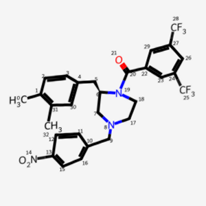 Cc1ccc(C[C@@H]2CN(Cc3ccc([N+](=O)[O-])cc3)CCN2C(=O)c2cc(C(F)(F)F)cc(C(F)(F)F)c2)cc1C